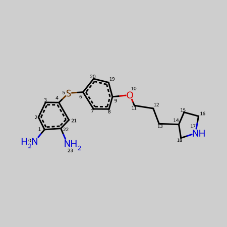 Nc1ccc(Sc2ccc(OCCCC3CCNC3)cc2)cc1N